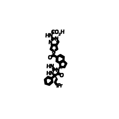 CC(C)CC[C@]1(c2ccccc2)NC(=N)N([C@@H]2CCc3ccc(C(=O)N4Cc5cnc(NC(=O)O)nc5C4)cc32)C1=O